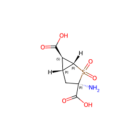 N[C@]1(C(=O)O)C[C@@H]2[C@@H](C(=O)O)[C@@H]2S1(=O)=O